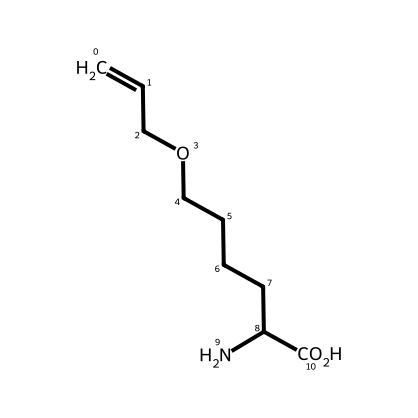 C=CCOCCCCC(N)C(=O)O